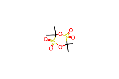 CC1(C)OS(=O)(=O)C(C)(C)OS1(=O)=O